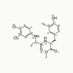 COC(=O)[C@H](Cc1ccc(O)c(I)c1)NC(=O)C(C)Nc1ccc(Cl)c(Cl)c1